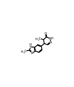 Cc1nc2ccc(C3C=NNC(=O)C3C)cc2[nH]1